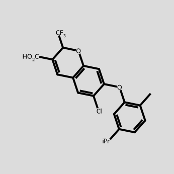 Cc1ccc(C(C)C)cc1Oc1cc2c(cc1Cl)C=C(C(=O)O)C(C(F)(F)F)O2